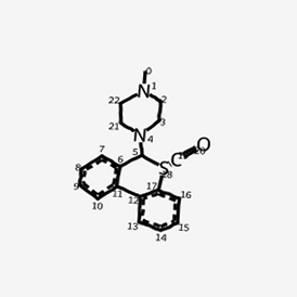 CN1CCN(C2c3ccccc3-c3ccccc3S2=C=O)CC1